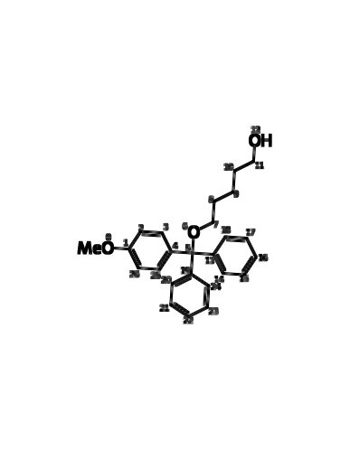 COc1ccc(C(OCCCCCO)(c2ccccc2)c2ccccc2)cc1